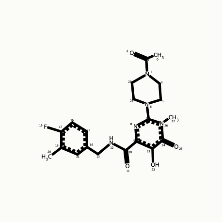 CC(=O)N1CCN(c2nc(C(=O)NCc3ccc(F)c(C)c3)c(O)c(=O)n2C)CC1